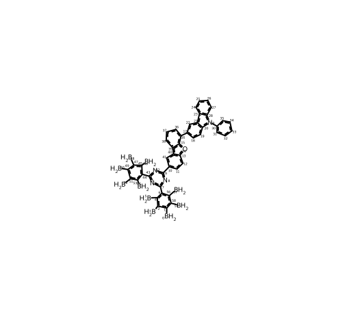 Bc1c(B)c(B)c(-c2nc(-c3ccc4oc5c(-c6ccc7c(c6)c6ccccc6n7-c6ccccc6)cccc5c4c3)nc(-c3c(B)c(B)c(B)c(B)c3B)n2)c(B)c1B